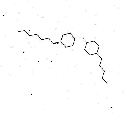 CCCCCCC[C@H]1CC[C@H](C[C@H]2CC[C@H](CCCCC)CC2)CC1